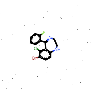 Fc1ccccc1C1=NCCNc2ccc(Br)c(Cl)c21